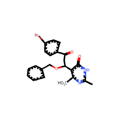 Cc1nc(C(=O)O)c(C(OCc2ccccc2)C(=O)c2ccc(Br)cc2)c(=O)[nH]1